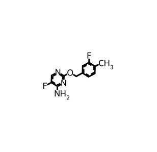 Cc1ccc(COc2ncc(F)c(N)n2)cc1F